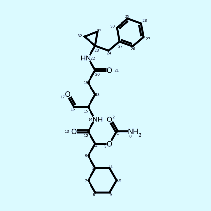 NC(=O)OC(CC1CCCCC1)C(=O)NC(C=O)CCC(=O)NC1(Cc2ccccc2)CC1